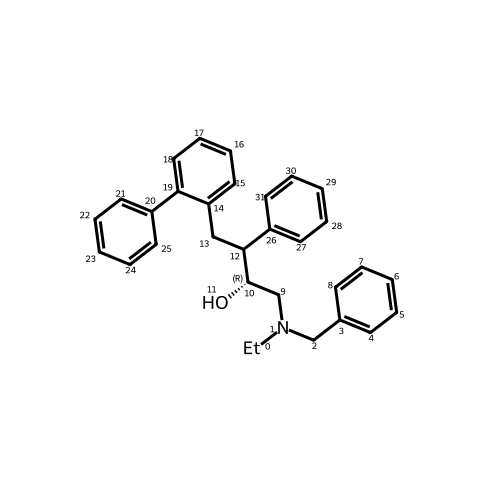 CCN(Cc1ccccc1)C[C@H](O)C(Cc1ccccc1-c1ccccc1)c1ccccc1